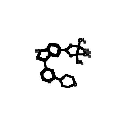 CC1(C)OB(c2ccc3[nH]nc(-c4ccnc(N5CCOCC5)c4)c3c2)OC1(C)C